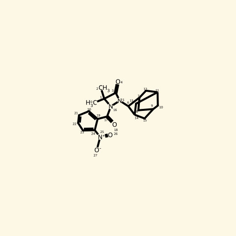 CC1(C)C(=O)N(C2C3CC4CC(C3)CC2C4)N1C(=O)c1ccccc1[N+](=O)[O-]